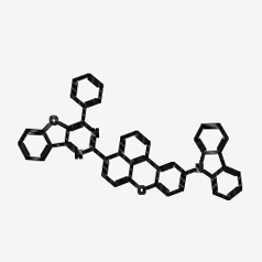 c1ccc(-c2nc(-c3ccc4c5c(cccc35)-c3cc(-n5c6ccccc6c6ccccc65)ccc3O4)nc3c2oc2ccccc23)cc1